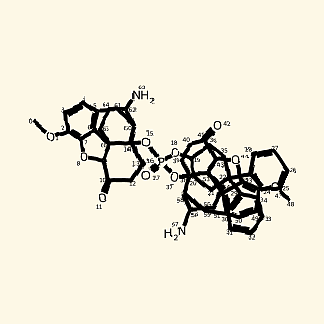 COc1ccc2c3c1OC1C(=O)CCC4(OP(=O)(OC5CCC(c6ccccc6)(c6ccccc6)CC5)OC56CCC(=O)C7Oc8c(OC)ccc9c8C75CCC(N)C6C9)C(C2)C(N)CCC314